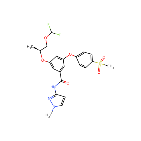 C[C@@H](COC(F)F)Oc1cc(Oc2ccc(S(C)(=O)=O)cc2)cc(C(=O)Nc2ccn(C)n2)c1